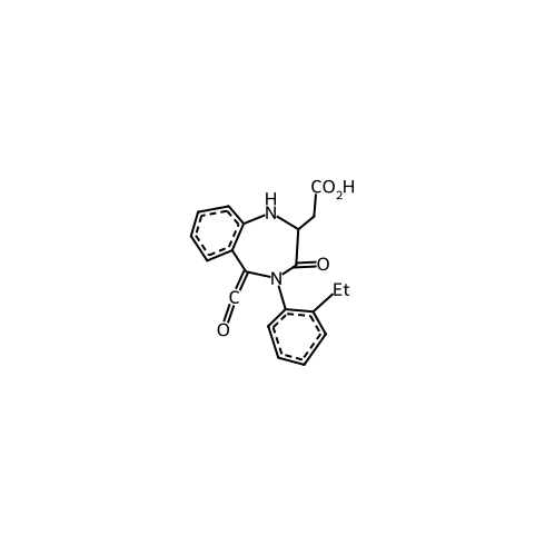 CCc1ccccc1N1C(=O)C(CC(=O)O)Nc2ccccc2C1=C=O